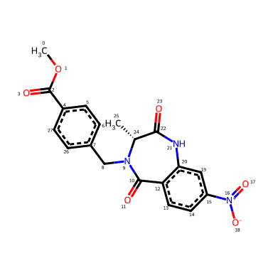 COC(=O)c1ccc(CN2C(=O)c3ccc([N+](=O)[O-])cc3NC(=O)[C@H]2C)cc1